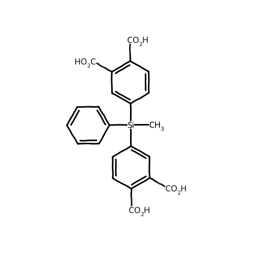 C[Si](c1ccccc1)(c1ccc(C(=O)O)c(C(=O)O)c1)c1ccc(C(=O)O)c(C(=O)O)c1